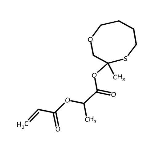 C=CC(=O)OC(C)C(=O)OC1(C)COCCCCS1